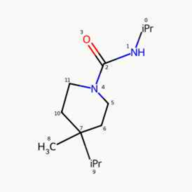 CC(C)NC(=O)N1CCC(C)(C(C)C)CC1